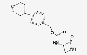 O=C(N[C@H]1CNC1=O)OCc1ccc(C2CCOCC2)cc1